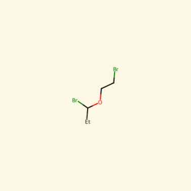 CCC(Br)OCCBr